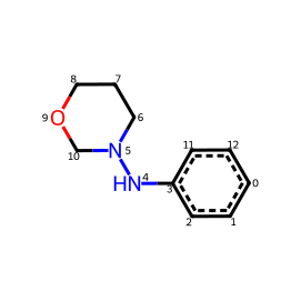 c1ccc(NN2CCCOC2)cc1